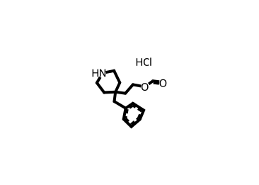 Cl.O=COCCC1(Cc2ccccc2)CCNCC1